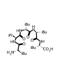 CC[C@H](C)[C@H](N)C(=O)N[C@H](C(=O)N[C@H](C(=O)N[C@H](C(=O)N[C@H](C(=O)O)[C@@H](C)CC)[C@@H](C)CC)[C@@H](C)CC)C(C)C